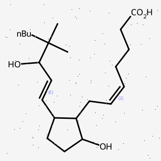 CCCCC(C)(C)C(O)/C=C/C1CCC(O)C1C/C=C\CCCC(=O)O